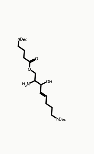 CCCCCCCCCCCCCC=CC(O)C(N)COC(=O)CCCCCCCCCCCCC